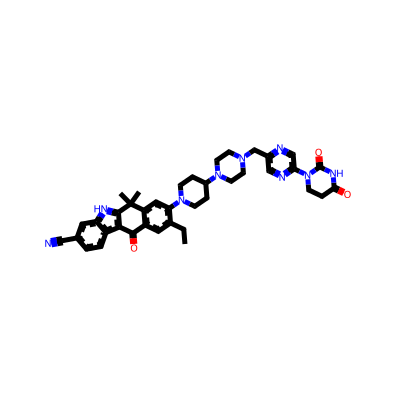 CCc1cc2c(cc1N1CCC(N3CCN(Cc4cnc(N5CCC(=O)NC5=O)cn4)CC3)CC1)C(C)(C)c1[nH]c3cc(C#N)ccc3c1C2=O